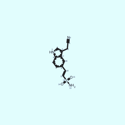 N#CCc1c[nH]c2ccc(C=CS(N)(=O)=O)cc12